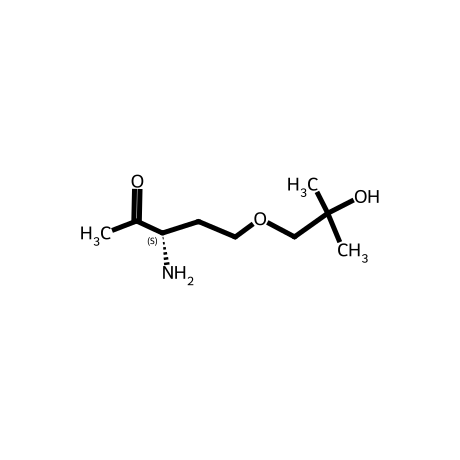 CC(=O)[C@@H](N)CCOCC(C)(C)O